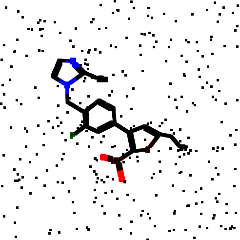 CC(C)Cc1cc(-c2ccc(Cn3ccnc3C(C)(C)C)c(F)c2)c([SH](=O)=O)s1